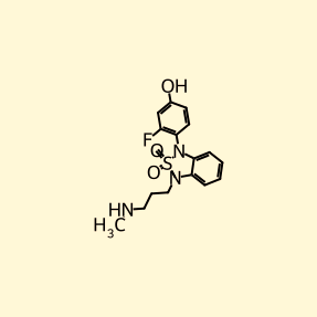 CNCCCN1c2ccccc2N(c2ccc(O)cc2F)S1(=O)=O